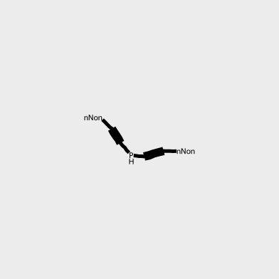 CCCCCCCCCC#CPC#CCCCCCCCCC